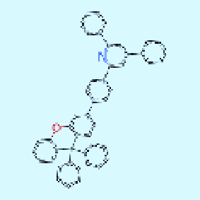 c1ccc(-c2cc(-c3ccccc3)nc(-c3ccc(-c4ccc5c(c4)Oc4ccccc4C5(c4ccccc4)c4ccccc4)cc3)c2)cc1